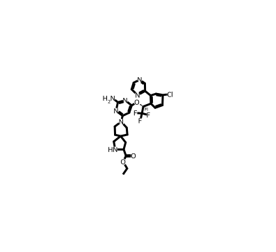 CCOC(=O)C1CC2(CCN(c3cc(O[C@H](c4ccc(Cl)cc4-c4cnccn4)C(F)(F)F)nc(N)n3)CC2)CN1